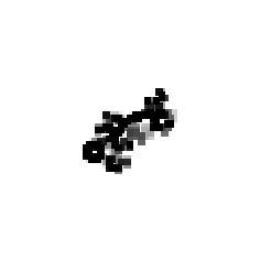 CCn1nc(C#Cc2cnc(F)c(NC(=O)N3OCC[C@@H]3c3ccccc3)c2)c2c(N)ncnc21